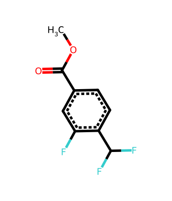 COC(=O)c1ccc(C(F)F)c(F)c1